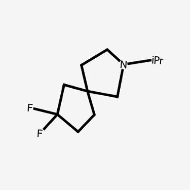 CC(C)N1CCC2(CCC(F)(F)C2)C1